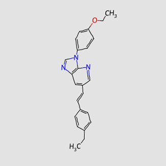 CCOc1ccc(-n2cnc3cc(C=Cc4ccc(CC)cc4)cnc32)cc1